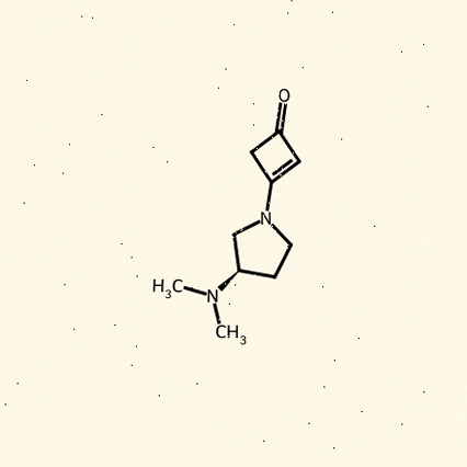 CN(C)[C@@H]1CCN(C2=CC(=O)C2)C1